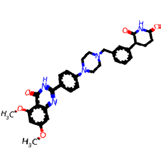 COc1cc(OC)c2c(=O)[nH]c(-c3ccc(N4CCN(Cc5cccc(C6CCC(=O)NC6=O)c5)CC4)cc3)nc2c1